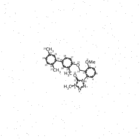 COc1cccc(-n2nnn(C)c2=O)c1COc1ccc(-c2cc(C)ccc2C)cc1C